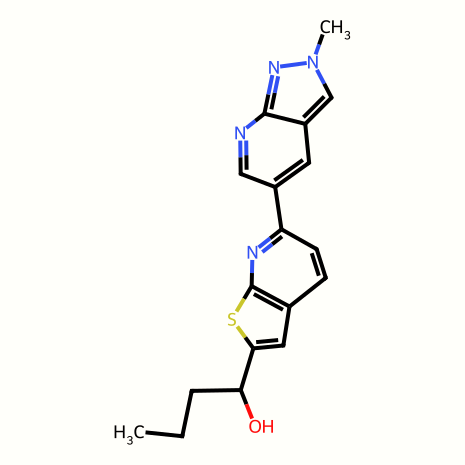 CCCC(O)c1cc2ccc(-c3cnc4nn(C)cc4c3)nc2s1